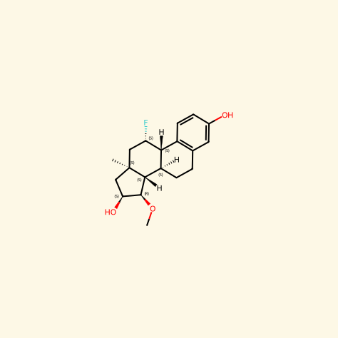 CO[C@@H]1[C@H]2[C@@H]3CCc4cc(O)ccc4[C@H]3[C@@H](F)C[C@]2(C)C[C@@H]1O